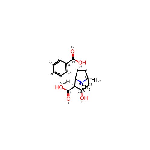 CN1[C@H]2CC[C@@H]1C(C(=O)O)C(O)C2.O=C(O)c1ccccc1